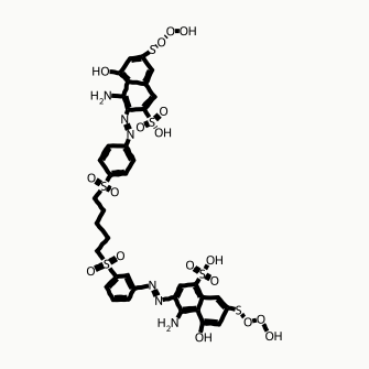 Nc1c(N=Nc2ccc(S(=O)(=O)CCCCCS(=O)(=O)c3cccc(N=Nc4cc(S(=O)(=O)O)c5cc(SOOO)cc(O)c5c4N)c3)cc2)c(S(=O)(=O)O)cc2cc(SOOO)cc(O)c12